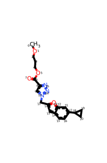 COCCCOC(=O)c1cn(Cc2cc3ccc(C4CC4)cc3o2)nn1